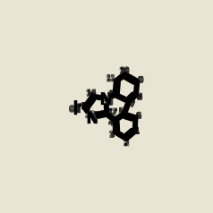 [Ir].c1ccc2c(c1)c1ccccc1n1ccnc21